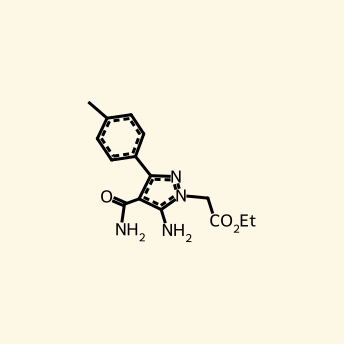 CCOC(=O)Cn1nc(-c2ccc(C)cc2)c(C(N)=O)c1N